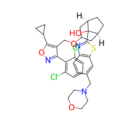 OC1(c2nc3ccc(CN4CCOCC4)cc3s2)[C@@H]2CC[C@H]1CC(OCc1c(-c3c(Cl)cccc3Cl)noc1C1CC1)C2